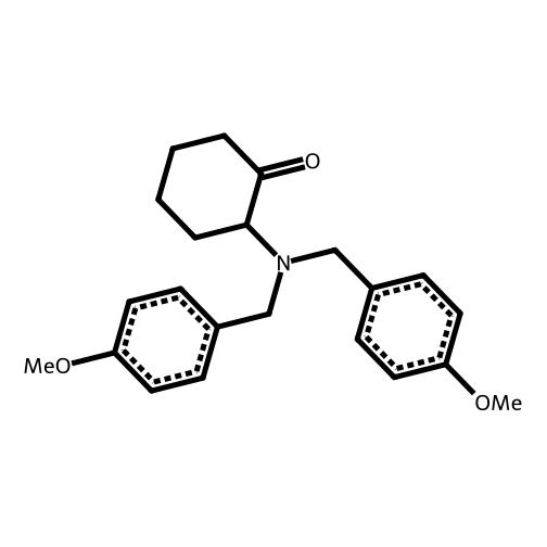 COc1ccc(CN(Cc2ccc(OC)cc2)C2CCCCC2=O)cc1